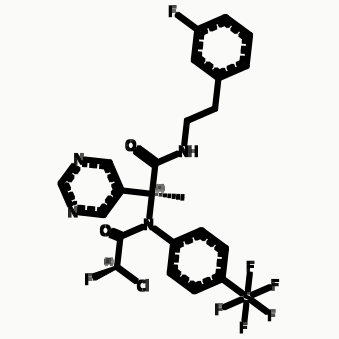 C[C@@](C(=O)NCCc1cccc(F)c1)(c1cncnc1)N(C(=O)[C@H](F)Cl)c1ccc(S(F)(F)(F)(F)F)cc1